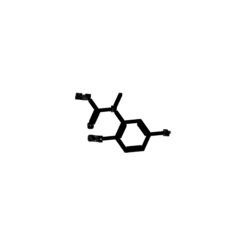 CNC(=O)N(C)c1cc(Br)ccc1C=O